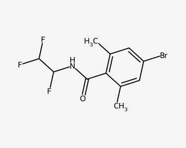 Cc1cc(Br)cc(C)c1C(=O)NC(F)C(F)F